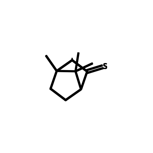 CC12[CH]C(=S)C(CC1)C2(C)C